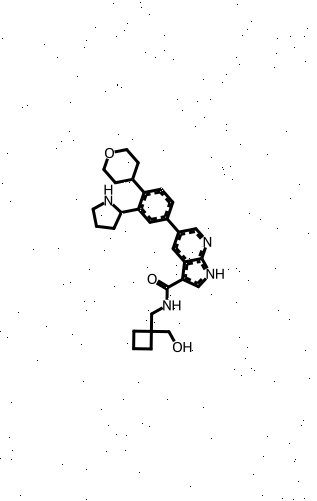 O=C(NCC1(CO)CCC1)c1c[nH]c2ncc(-c3ccc(C4CCOCC4)c(C4CCCN4)c3)cc12